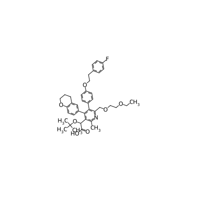 CCOCCOCc1nc(C)c(C(OC(C)(C)C)C(=O)O)c(-c2ccc3c(c2)CCCO3)c1-c1ccc(OCCc2ccc(F)cc2)cc1